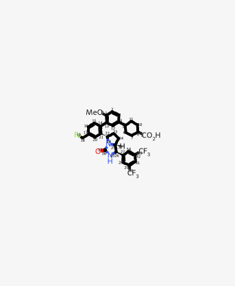 COc1ccc(C2CCC(C(=O)O)CC2)cc1-c1ccc(CF)cc1[C@@H]1CC[C@H]2[C@@H](c3cc(C(F)(F)F)cc(C(F)(F)F)c3)NC(=O)N12